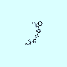 CCc1nn(-c2noc(C3CN(CCNC(=O)OC)C3)n2)c2ccccc12